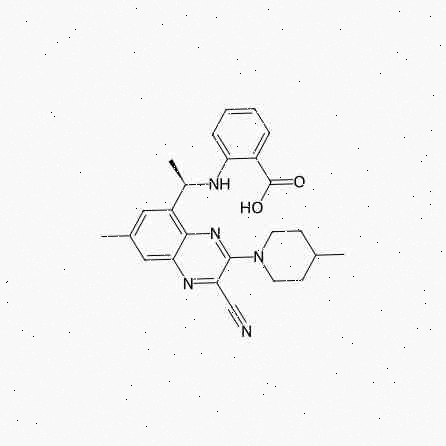 Cc1cc([C@@H](C)Nc2ccccc2C(=O)O)c2nc(N3CCC(C)CC3)c(C#N)nc2c1